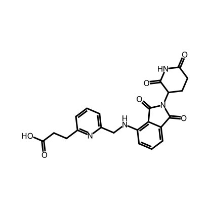 O=C(O)CCc1cccc(CNc2cccc3c2C(=O)N(C2CCC(=O)NC2=O)C3=O)n1